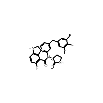 O=C1NCC[C@H]1N(C(=O)c1c(F)ccc2c1CCN2)c1cc(Cc2cc(F)c(F)c(F)c2)ccn1